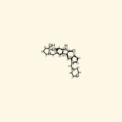 O=C1Nc2ccc(CN3CCCS3(O)O)cc2C1=Cc1cccn1CN1CCOCC1